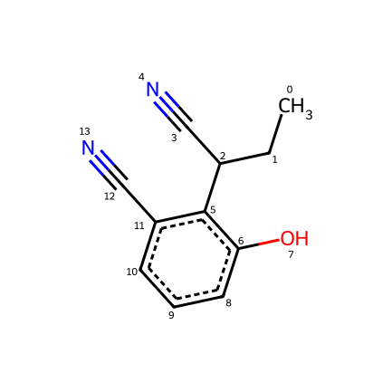 CCC(C#N)c1c(O)cccc1C#N